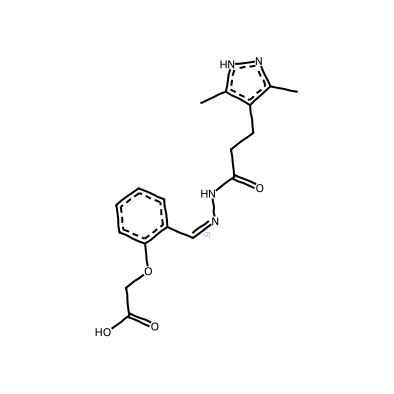 Cc1n[nH]c(C)c1CCC(=O)N/N=C\c1ccccc1OCC(=O)O